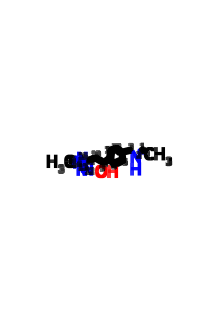 CCNCc1ccc(C(O)Cc2nnn(C)n2)cc1